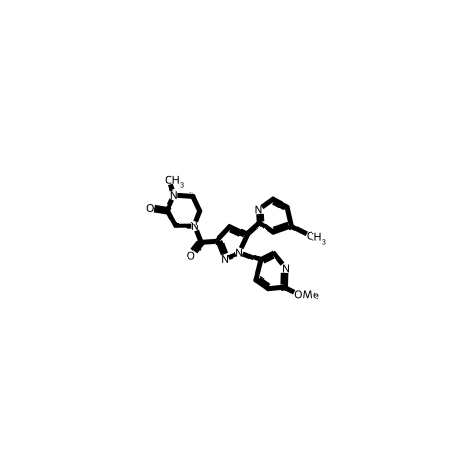 COc1ccc(-n2nc(C(=O)N3CCN(C)C(=O)C3)cc2-c2cc(C)ccn2)cn1